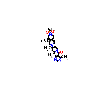 CCCC[C@H]1CN(S(C)(=O)=O)CCC12CCN(C1(C)CCN(C(=O)c3c(C)ncnc3C)CC1)CC2